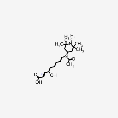 CC(=O)N(CCCCCC(O)/C=C/C(=O)O)C1CC(C)(C)N(C)C(C)(C)C1